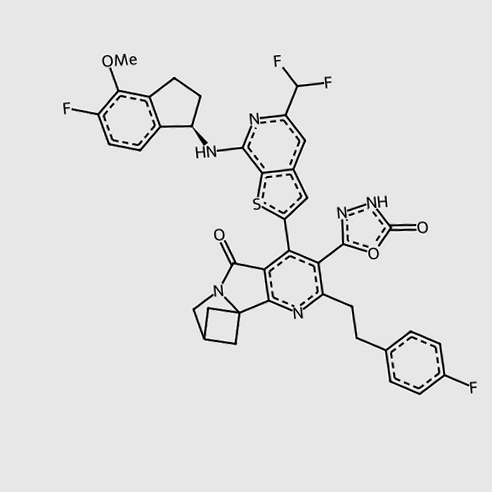 COc1c(F)ccc2c1CC[C@H]2Nc1nc(C(F)F)cc2cc(-c3c4c(nc(CCc5ccc(F)cc5)c3-c3n[nH]c(=O)o3)C35CC(CN3C4=O)C5)sc12